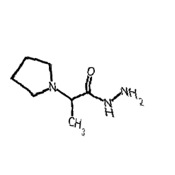 CC(C(=O)NN)N1CCCC1